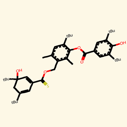 Cc1cc(C(C)(C)C)c(OC(=O)c2cc(C(C)(C)C)c(O)c(C(C)(C)C)c2)c(C)c1COC(=S)C1=CC(O)(C(C)(C)C)CC(C(C)(C)C)=C1